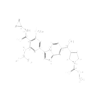 COc1cc(-c2cnc3cc(C(O)C4CCN(C(=O)OC(C)(C)C)C4)ccn23)cc(OC(F)F)c1C(=O)NC1CC1